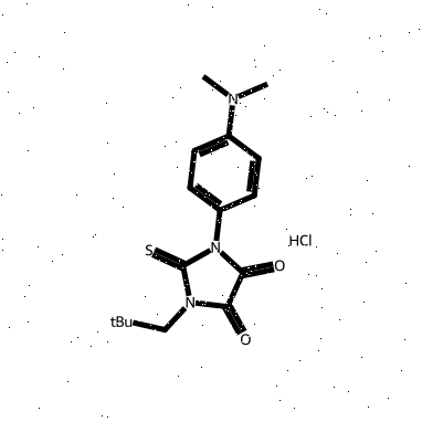 CN(C)c1ccc(N2C(=O)C(=O)N(CC(C)(C)C)C2=S)cc1.Cl